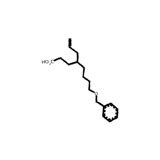 C=CCC(CCCCOCc1ccccc1)CCC(=O)O